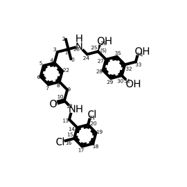 CC(C)(Cc1cccc(CC(=O)NCc2c(Cl)cccc2Cl)c1)NC[C@@H](O)c1ccc(O)c(CO)c1